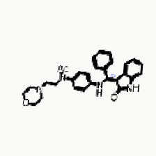 CC(=O)N(CCN1CCOCC1)c1ccc(N/C(=C2\C(=O)Nc3ccccc32)c2ccccc2)cc1